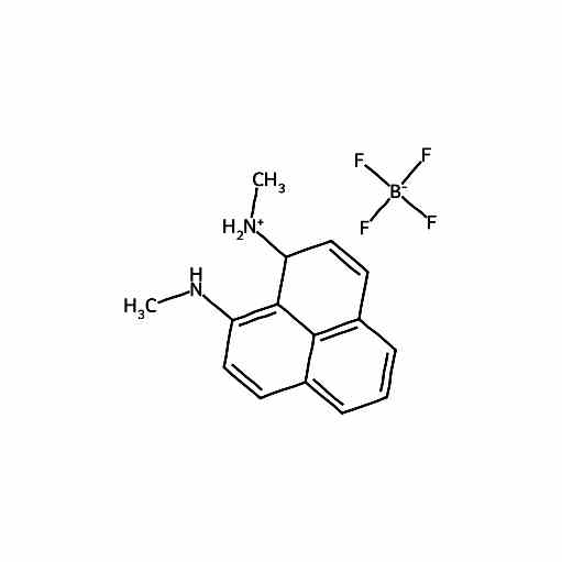 CNc1ccc2cccc3c2c1C([NH2+]C)C=C3.F[B-](F)(F)F